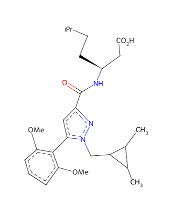 COc1cccc(OC)c1-c1cc(C(=O)N[C@@H](CCC(C)C)CC(=O)O)nn1CC1C(C)C1C